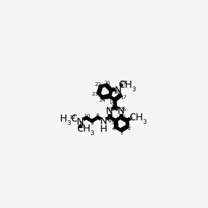 Cc1cccc2c(NCCCN(C)C)nc(-c3cn(C)c4ccccc34)nc12